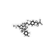 Cc1ccc(S(=O)(=O)N2C[C@H](N)C[C@H]2C(=O)N[C@H](C)Cc2ccc(OC(=O)N(C)C)cc2)cc1